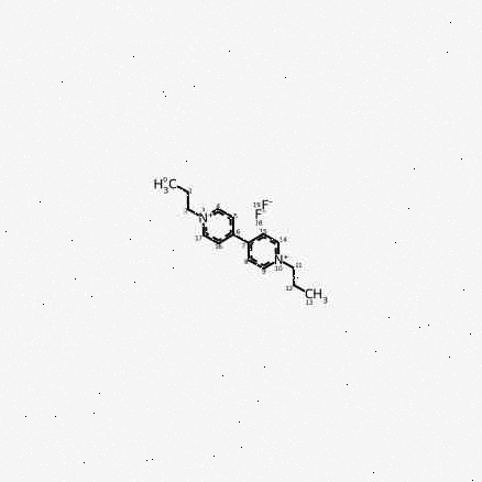 CCC[n+]1ccc(-c2cc[n+](CCC)cc2)cc1.[F-].[F-]